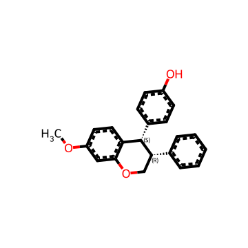 COc1ccc2c(c1)OC[C@@H](c1ccccc1)[C@H]2c1ccc(O)cc1